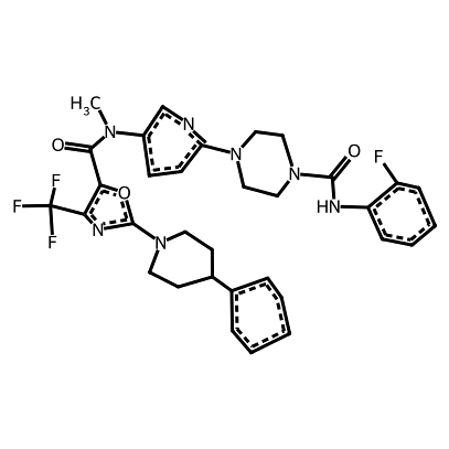 CN(C(=O)c1oc(N2CCC(c3ccccc3)CC2)nc1C(F)(F)F)c1ccc(N2CCN(C(=O)Nc3ccccc3F)CC2)nc1